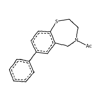 CC(=O)N1CCSc2ccc(-c3ccccc3)cc2C1